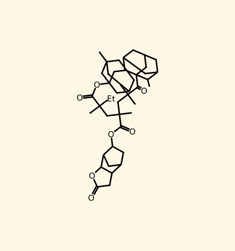 CCC(C)(CC(C)(CC(C)(C)C(=O)C12CC3CC(CC(C3)C1C)C2)C(=O)OC1CC2CC1C1OC(=O)CC21)C(=O)OC12CC3CC(CC(C)(C3)C1)C2